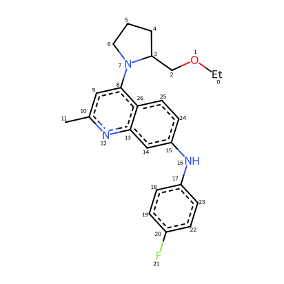 CCOCC1CCCN1c1cc(C)nc2cc(Nc3ccc(F)cc3)ccc12